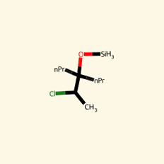 CCCC(CCC)(O[SiH3])C(C)Cl